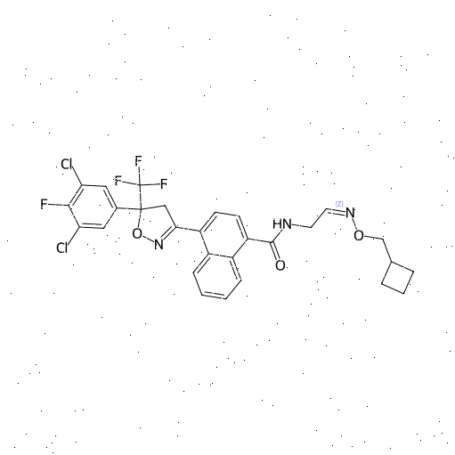 O=C(NC/C=N\OCC1CCC1)c1ccc(C2=NOC(c3cc(Cl)c(F)c(Cl)c3)(C(F)(F)F)C2)c2ccccc12